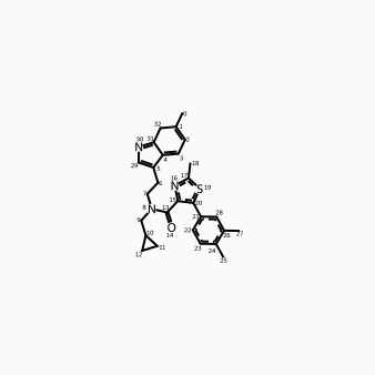 CC1=CC=C2C(CCN(CC3CC3)C(=O)c3nc(C)sc3-c3ccc(C)c(C)c3)=CN=C2C1